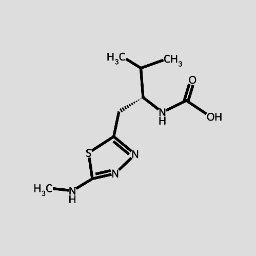 CNc1nnc(C[C@@H](NC(=O)O)C(C)C)s1